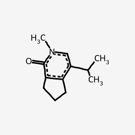 CC(C)c1cn(C)c(=O)c2c1CCC2